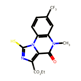 CCOC(=O)c1nc(S)n2c1c(=O)n(C)c1cc(C(F)(F)F)ccc12